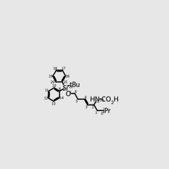 CC(C)CC(/C=C/CCO[Si](c1ccccc1)(c1ccccc1)C(C)(C)C)NC(=O)O